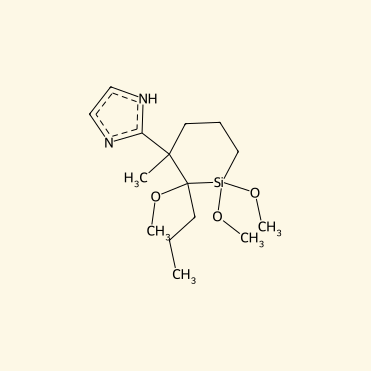 CCCC1(OC)C(C)(c2ncc[nH]2)CCC[Si]1(OC)OC